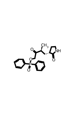 C[C@@H](C[C@@H]1CCNC1=O)C(=O)COP(=O)(c1ccccc1)c1ccccc1